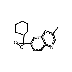 Cc1cnc2ccc(C3(C4CCCCC4)OO3)cc2c1